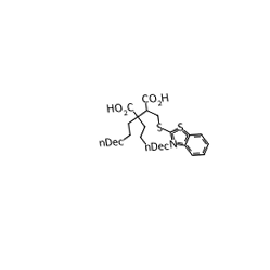 CCCCCCCCCCCCC(CCCCCCCCCCCC)(C(=O)O)C(CSc1nc2ccccc2s1)C(=O)O